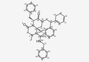 CN1CC(=O)N2[C@@H](Cc3ccccc3)C(=O)N(CC(C3=CC=CCC3)c3ccccc3)C[C@@H]2N1C(=O)NCc1ccccc1